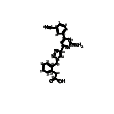 N#Cc1cccc(-c2cc(-c3cn(Cc4ccccc4CC(=O)O)nn3)nc(N)n2)c1